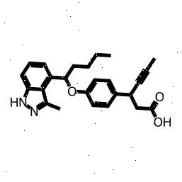 CC#CC(CC(=O)O)c1ccc(OC(CCCC)c2cccc3[nH]nc(C)c23)cc1